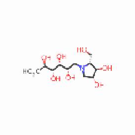 O=C(O)[C@@H](O)[C@@H](O)[C@H](O)[C@@H](O)CN1C[C@@H](O)[C@H](O)[C@H]1CO